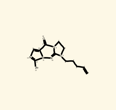 C=CCCCN1CCn2c1nn1c(C(C)C)ncc1c2=O